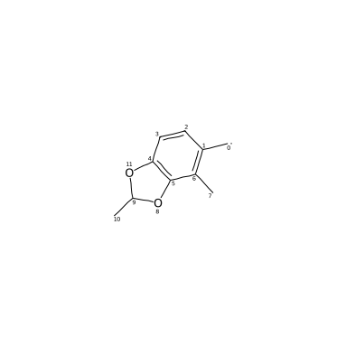 [CH2]c1ccc2c(c1C)OC(C)O2